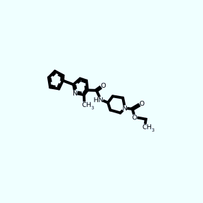 CCOC(=O)N1CCC(NC(=O)c2ccc(-c3ccccc3)nc2C)CC1